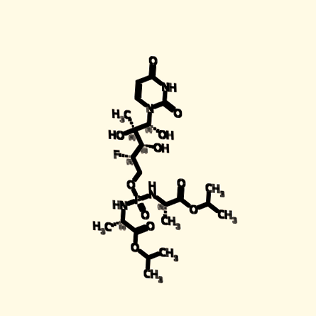 CC(C)OC(=O)[C@H](C)NP(=O)(N[C@@H](C)C(=O)OC(C)C)OC[C@H](F)[C@@H](O)[C@@](C)(O)[C@@H](O)n1ccc(=O)[nH]c1=O